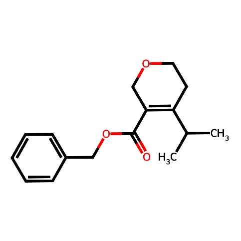 CC(C)C1=C(C(=O)OCc2ccccc2)COCC1